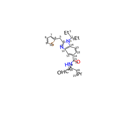 CCC(CC)n1c(Cc2cccs2)nc2cc(C(=O)N[C@H](C=O)CC(C)C)ccc21